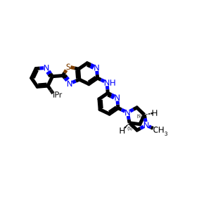 CC(C)c1cccnc1-c1nc2cc(Nc3cccc(N4C[C@@H]5C[C@H]4CN5C)n3)ncc2s1